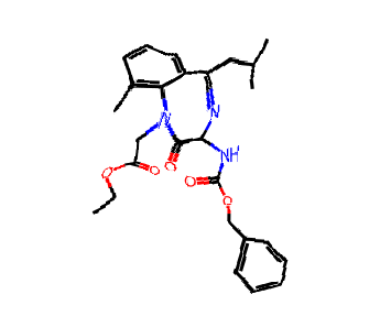 CCOC(=O)CN1C(=O)C(NC(=O)OCc2ccccc2)N=C(CC(C)C)c2cccc(C)c21